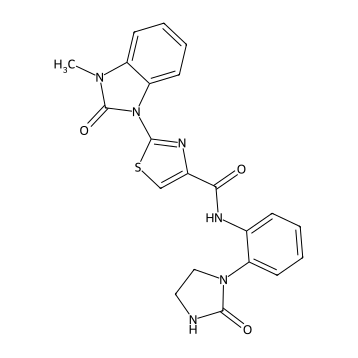 Cn1c(=O)n(-c2nc(C(=O)Nc3ccccc3N3CCNC3=O)cs2)c2ccccc21